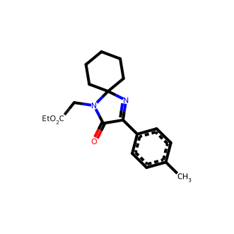 CCOC(=O)CN1C(=O)C(c2ccc(C)cc2)=NC12CCCCC2